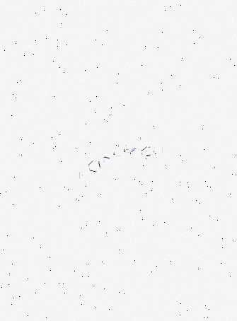 O=C(/C=C/c1ccc(O)cc1)CC(=O)/C=C/c1c[nH]cn1